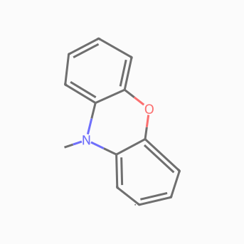 CN1c2c[c]ccc2Oc2ccccc21